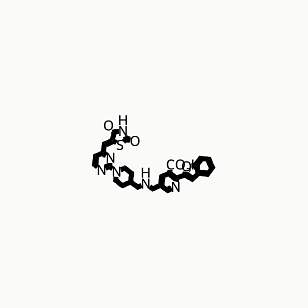 O=C1NC(=O)C(=Cc2ccnc(N3CCC(CNCc4cnc(-c5cc6ccccc6o5)c(C(=O)O)c4)CC3)n2)S1